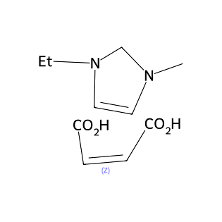 CCN1C=CN(C)C1.O=C(O)/C=C\C(=O)O